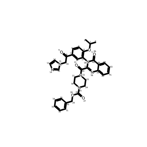 CC(C)Oc1ccc(C(=O)Cn2ccnc2)cc1-n1c(C(=O)N2CCN(C(=O)OCc3ccccc3)CC2)nc2ccccc2c1=O